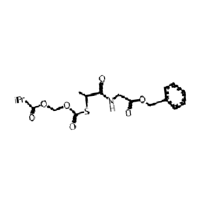 CC(C)C(=O)OCOC(=O)SC(C)C(=O)NCC(=O)OCc1ccccc1